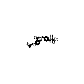 CCC(=O)N[C@@H](C)c1ccc(CN2CC(=O)c3cc(OCC4CC4(F)F)ccc3C2)cc1